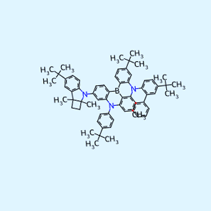 Cc1cc2c3c(c1)N(c1ccc(C(C)(C)C)cc1-c1ccccc1)c1cc(C(C)(C)C)ccc1B3c1ccc(N3c4ccc(C(C)(C)C)cc4C4(C)CCC34C)cc1N2c1ccc(C(C)(C)C)cc1